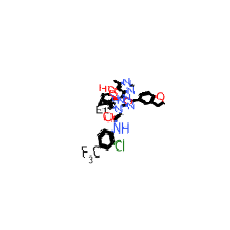 CCc1c(C23CCN(C(=O)c4ncnc(C)c4O)CC2C3)c(=O)n2nc(-c3ccc4c(c3)CCO4)nc2n1CC(=O)Nc1ccc(C(F)(F)F)cc1Cl